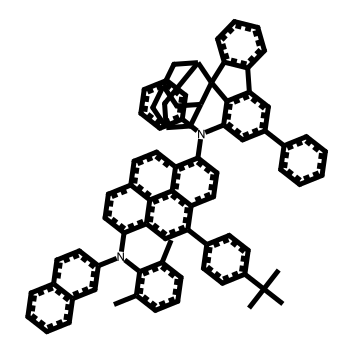 Cc1cccc(C)c1N(c1ccc2ccccc2c1)c1ccc2ccc3c(N(c4ccccc4)c4cc(-c5ccccc5)cc5c4C4(c6ccccc6-5)C5CC6CC(C5)CC4C6)ccc4c(-c5ccc(C(C)(C)C)cc5)cc1c2c43